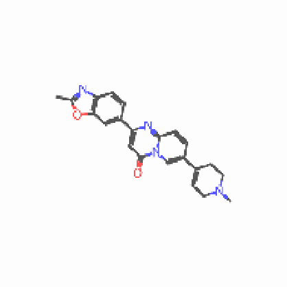 Cc1nc2ccc(-c3cc(=O)n4cc(C5=CCN(C)CC5)ccc4n3)cc2o1